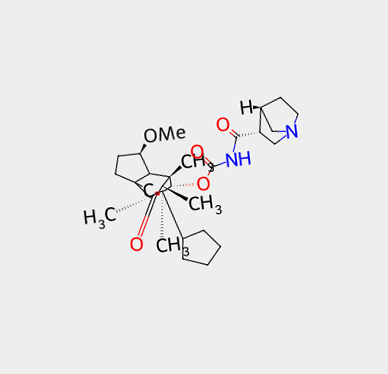 CO[C@@H]1CCC23CC[C@@H](C)[C@](C)(C12)[C@H](OC(=O)NC(=O)[C@H]1CN2CC[C@@H]1C2)C[C@@](C)(C1CCCC1)C(=O)[C@@H]3C